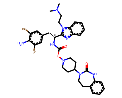 CN(C)CCn1c([C@@H](Cc2cc(Br)c(N)c(Br)c2)NC(=O)ON2CCC(N3CCc4ccccc4NC3=O)CC2)nc2ccccc21